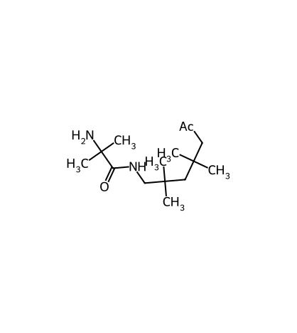 CC(=O)CC(C)(C)CC(C)(C)CNC(=O)C(C)(C)N